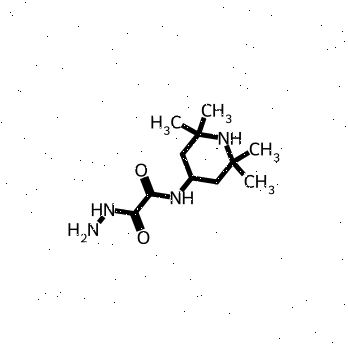 CC1(C)CC(NC(=O)C(=O)NN)CC(C)(C)N1